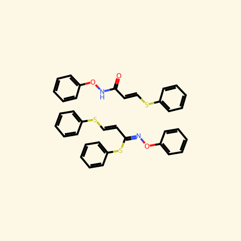 C(=CC(=NOc1ccccc1)Sc1ccccc1)Sc1ccccc1.O=C(C=CSc1ccccc1)NOc1ccccc1